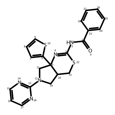 O=C(NC1=NC2(c3cccs3)CN(c3ncccn3)CC2CS1)c1ccccc1